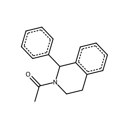 CC(=O)N1CCc2ccccc2C1c1ccccc1